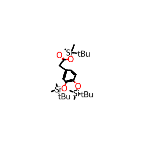 CC(C)(C)[Si](C)(C)OC(=O)Cc1ccc(O[Si](C)(C)C(C)(C)C)c(O[Si](C)(C)C(C)(C)C)c1